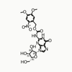 COc1cc(COC(=O)Nc2nc3c(ncn3[C@@H]3O[C@H](CO)[C@@H](O)[C@H]3O)c(=O)[nH]2)c([N+](=O)[O-])cc1OC